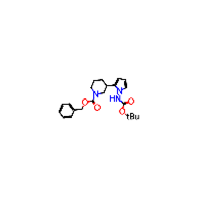 CC(C)(C)OC(=O)Nn1cccc1[C@@H]1CCCN(C(=O)OCc2ccccc2)C1